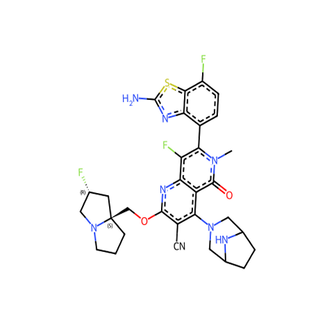 Cn1c(-c2ccc(F)c3sc(N)nc23)c(F)c2nc(OC[C@@]34CCCN3C[C@H](F)C4)c(C#N)c(N3CC4CCC(C3)N4)c2c1=O